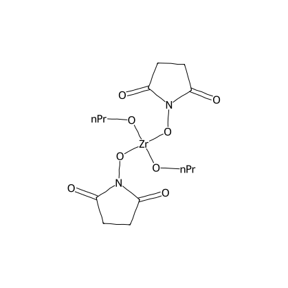 CCC[O][Zr]([O]CCC)([O]N1C(=O)CCC1=O)[O]N1C(=O)CCC1=O